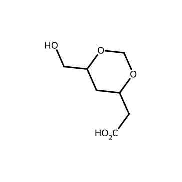 O=C(O)CC1CC(CO)OCO1